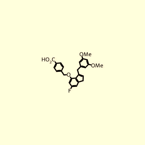 COc1cc(CC2=CCc3cc(F)cc(OCc4ccc(C(=O)O)cc4)c32)cc(OC)c1